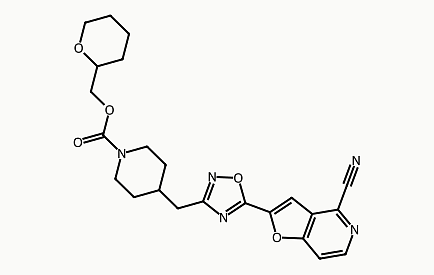 N#Cc1nccc2oc(-c3nc(CC4CCN(C(=O)OCC5CCCCO5)CC4)no3)cc12